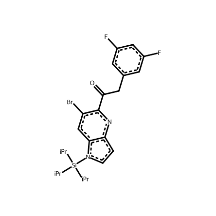 CC(C)[Si](C(C)C)(C(C)C)n1ccc2nc(C(=O)Cc3cc(F)cc(F)c3)c(Br)cc21